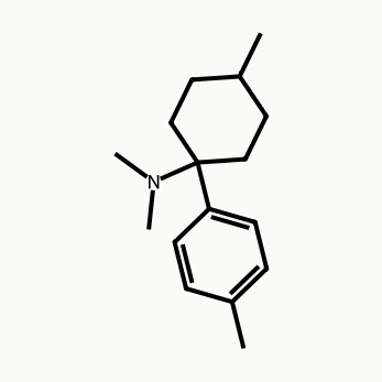 C[C]1CCC(c2ccc(C)cc2)(N(C)C)CC1